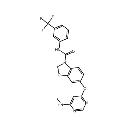 CNc1cc(Oc2ccc3c(c2)OCN3C(=O)Nc2cccc(C(F)(F)F)c2)ncn1